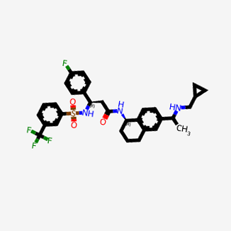 CC(NCC1CC1)c1ccc2c(c1)CCC[C@H]2NC(=O)C[C@@H](NS(=O)(=O)c1cccc(C(F)(F)F)c1)c1ccc(F)cc1